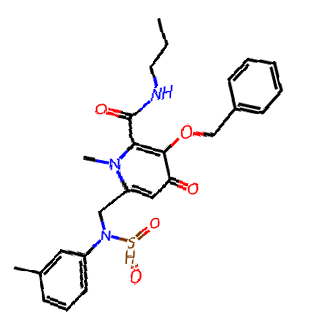 CCCNC(=O)c1c(OCc2ccccc2)c(=O)cc(CN(c2cccc(C)c2)[SH](=O)=O)n1C